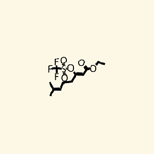 CCOC(=O)/C=C(/CCC=C(C)C)OS(=O)(=O)C(F)(F)F